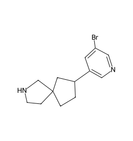 Brc1cncc(C2CCC3(CCNC3)C2)c1